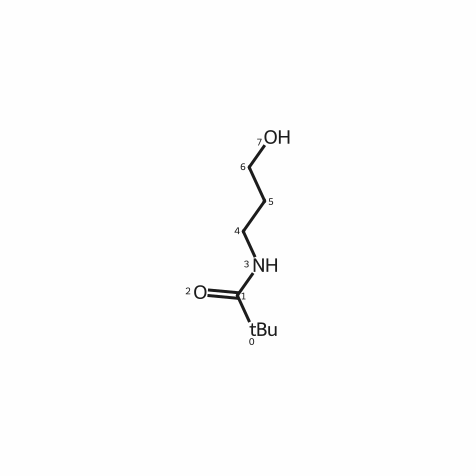 CC(C)(C)C(=O)NCCCO